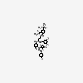 CCC(C)(C)c1ccc(OCCCC(=O)Nc2ccc(Cl)c(Nc3[nH]n(-c4c(Cl)cc(Cl)cc4Cl)c(=O)c3N=Nc3ccc(O)cc3)c2)c(C(C)(C)CC)c1